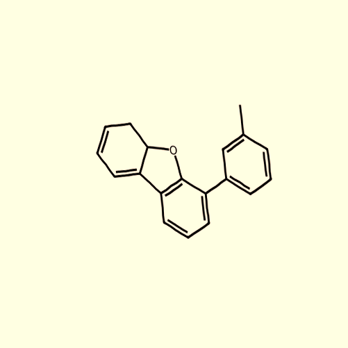 Cc1cccc(-c2cccc3c2OC2CC=CC=C32)c1